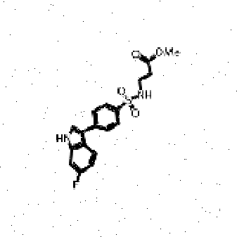 COC(=O)CCNS(=O)(=O)c1ccc(-c2c[nH]c3cc(F)ccc23)cc1